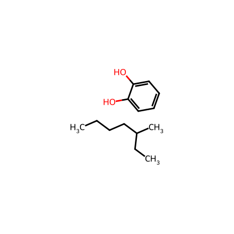 CCCCC(C)CC.Oc1ccccc1O